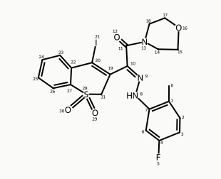 Cc1ccc(F)cc1N/N=C(/C(=O)N1CCOCC1)C1=C(I)c2ccccc2S(=O)(=O)C1